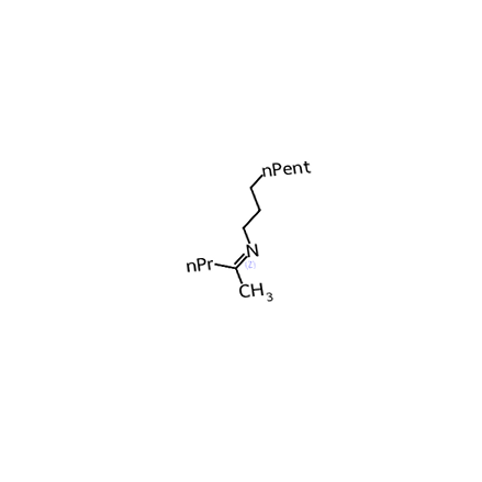 CCCCCCCC/N=C(/C)CCC